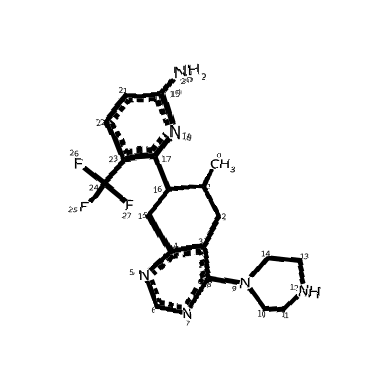 CC1Cc2c(ncnc2N2CCNCC2)CC1c1nc(N)ccc1C(F)(F)F